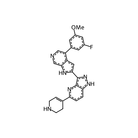 COc1cc(F)cc(-c2cncc3[nH]c(-c4n[nH]c5ccc(C6=CCNCC6)nc45)cc23)c1